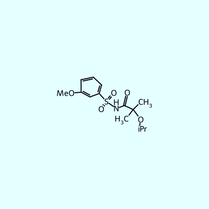 COc1cccc(S(=O)(=O)NC(=O)C(C)(C)OC(C)C)c1